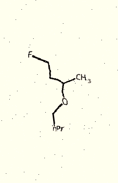 CCCCOC(C)CCF